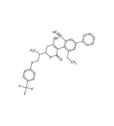 C#Cc1cc(-c2ccccc2)cc(CC)c1C1=C(O)CC(C(C)CSc2ccc(C(F)(F)F)cc2)OC1=O